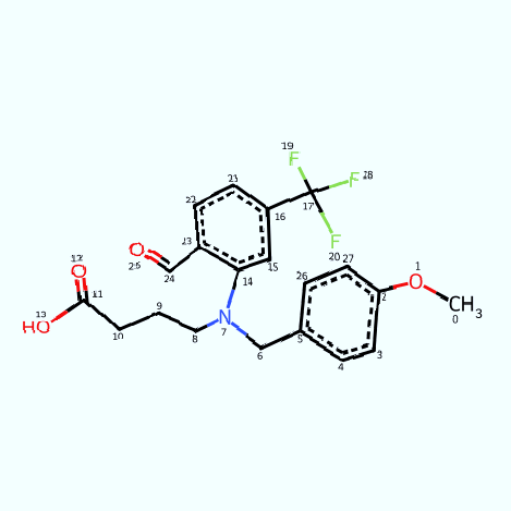 COc1ccc(CN(CCCC(=O)O)c2cc(C(F)(F)F)ccc2C=O)cc1